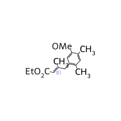 CCOC(=O)/C=C(\C)Cc1cc(OC)c(C)cc1C